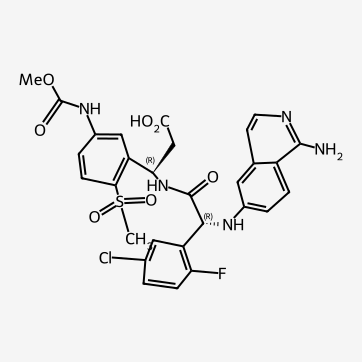 COC(=O)Nc1ccc(S(C)(=O)=O)c([C@@H](CC(=O)O)NC(=O)[C@H](Nc2ccc3c(N)nccc3c2)c2cc(Cl)ccc2F)c1